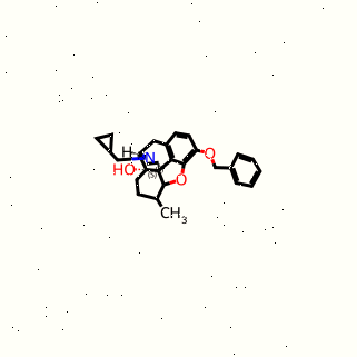 CC1CC[C@@]2(O)[C@H]3Cc4ccc(OCc5ccccc5)c5c4[C@@]2(CCN3CC2CC2)C1O5